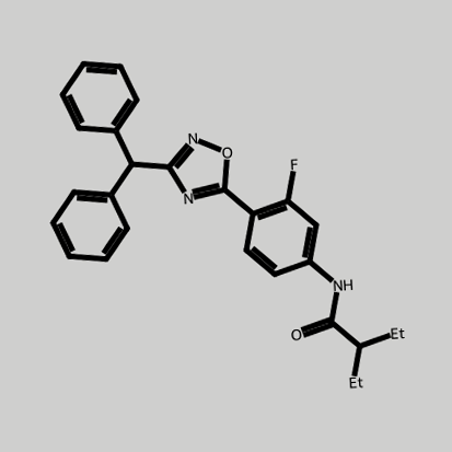 CCC(CC)C(=O)Nc1ccc(-c2nc(C(c3ccccc3)c3ccccc3)no2)c(F)c1